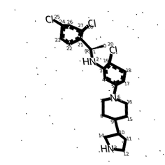 C[C@@H](Nc1cc(N2CCC(C3CCNC3)CC2)ccc1Cl)c1ccc(Cl)cc1Cl